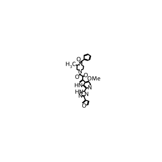 COc1cnc(-c2nc(-c3ccoc3)n[nH]2)c2[nH]cc(C(=O)C(=O)N3CCN(C(=O)c4ccccc4)C(C)C3)c12